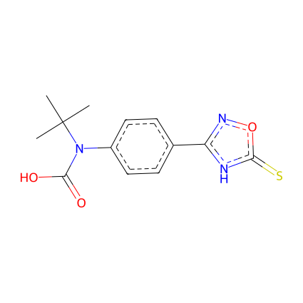 CC(C)(C)N(C(=O)O)c1ccc(-c2noc(=S)[nH]2)cc1